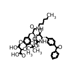 CCCCCNC(=O)[C@H](Cc1ccc(OC(C(=O)O)C(=O)O)cc1)NC(=O)[C@H](Cc1ccc(C(=O)c2ccccc2)cc1)NC(=O)OC(C)(C)C